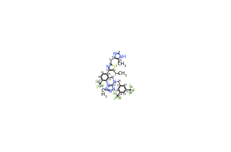 CCc1sc(Cc2nc[nH]c2C)nc1-c1ccc(C(F)(F)F)cc1CN(Cc1cc(C(F)(F)F)cc(C(F)(F)F)c1)c1nnn(C)n1